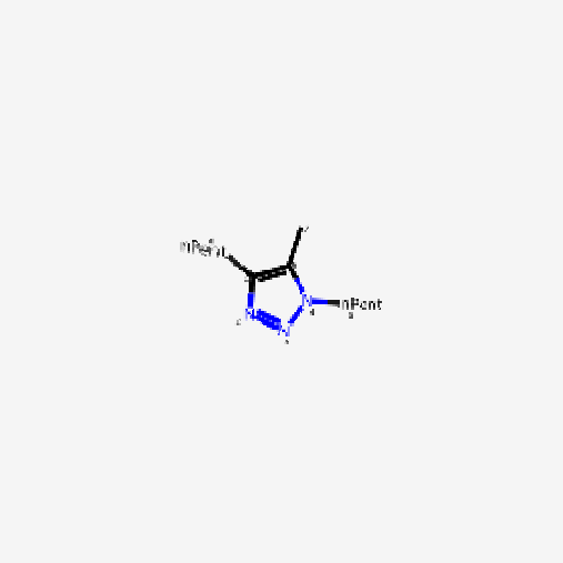 CCCCCc1nnn(CCCCC)c1C